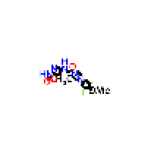 COc1c(F)cc(N2CCN(C(=O)CNc3cnc4[nH]c(=O)oc4c3)[C@H](C)C2)cc1F